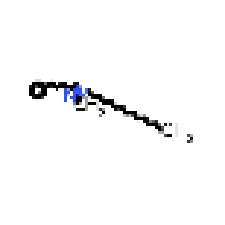 CCCCCCCCCCCCCCCn1cc(CCCc2ccccc2)nc1C